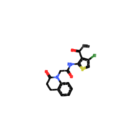 COC(=O)c1c(Cl)csc1NC(=O)CN1C(=O)CCc2ccccc21